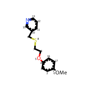 COc1ccc(OCCSCc2cccnc2)cc1